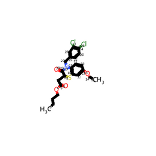 CCCCOC(=O)CC1Sc2cc(OCC)ccc2N(Cc2ccc(Cl)c(Cl)c2)C1=O